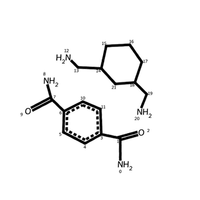 NC(=O)c1ccc(C(N)=O)cc1.NCC1CCCC(CN)C1